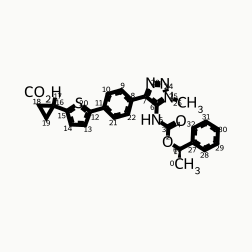 C[C@@H](OC(=O)Nc1c(-c2ccc(-c3ccc(C4(C(=O)O)CC4)s3)cc2)nnn1C)c1ccccc1